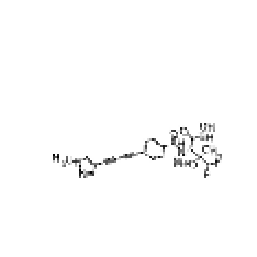 COC(C)(C(F)F)[C@H](NC(=O)c1ccc(C#CC#Cc2cnn(C)c2)cc1)C(=O)NO